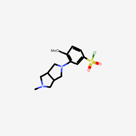 COc1ccc(S(=O)(=O)Cl)cc1N1CC2CN(C)CC2C1